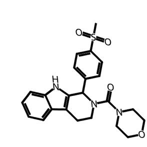 CS(=O)(=O)c1ccc(C2c3[nH]c4ccccc4c3CCN2C(=O)N2CCOCC2)cc1